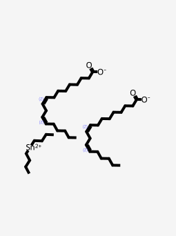 CCCCC/C=C\C/C=C\CCCCCCCC(=O)[O-].CCCCC/C=C\C/C=C\CCCCCCCC(=O)[O-].CCC[CH2][Sn+2][CH2]CCC